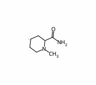 CN1CC[CH]CC1C(N)=O